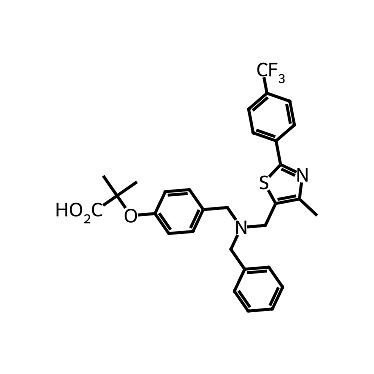 Cc1nc(-c2ccc(C(F)(F)F)cc2)sc1CN(Cc1ccccc1)Cc1ccc(OC(C)(C)C(=O)O)cc1